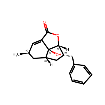 C[C@H]1C=C2C(=O)O[C@@H]3[C@H](Cc4ccccc4)C[C@H](C1)[C@]23O